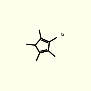 CC1=C(C)C(C)C(C)=C1C.[Cr]